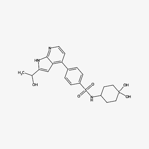 CC(O)c1cc2c(-c3ccc(S(=O)(=O)NC4CCS(O)(O)CC4)cc3)ccnc2[nH]1